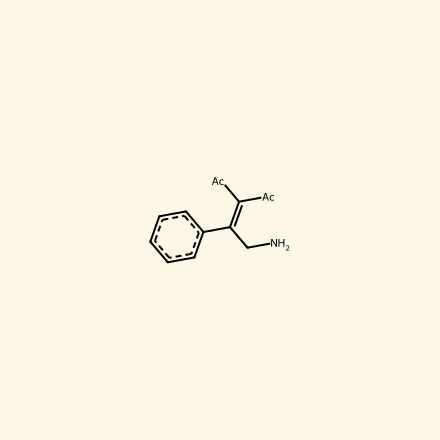 CC(=O)C(C(C)=O)=C(CN)c1ccccc1